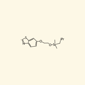 CC(C)C[Si](C)(C)OCCOc1ccc2n[c]sc2c1